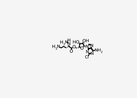 NCCC[C@H](NN)C(=O)OC[C@H]1O[C@@H](n2cnc3c(N)nc(Cl)nc32)[C@H](O)[C@@H]1O